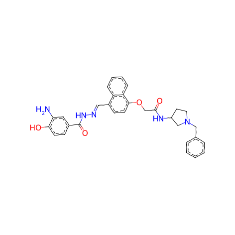 Nc1cc(C(=O)NN=Cc2ccc(OCC(=O)NC3CCN(Cc4ccccc4)C3)c3ccccc23)ccc1O